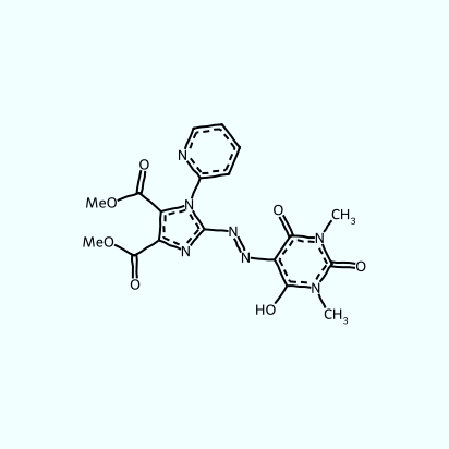 COC(=O)c1nc(N=Nc2c(O)n(C)c(=O)n(C)c2=O)n(-c2ccccn2)c1C(=O)OC